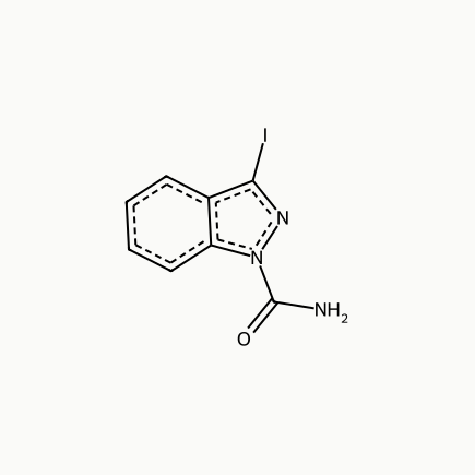 NC(=O)n1nc(I)c2ccccc21